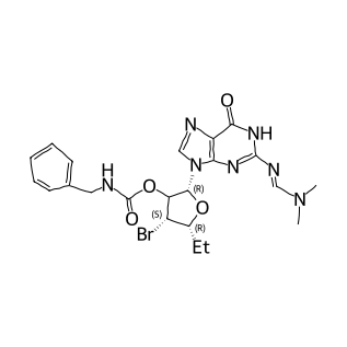 CC[C@H]1O[C@@H](n2cnc3c(=O)[nH]c(N=CN(C)C)nc32)C(OC(=O)NCc2ccccc2)[C@H]1Br